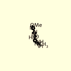 COc1ccc(-c2cnc(C(=O)Nc3ccc4nc(N(C)C(C)C)[nH]c4c3)cn2)cn1